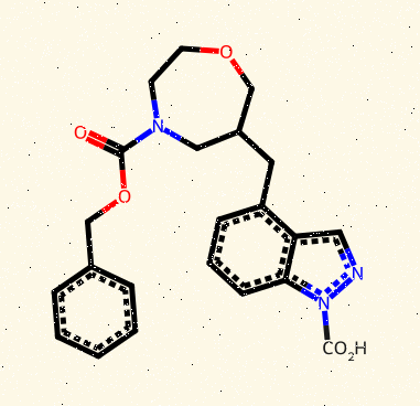 O=C(OCc1ccccc1)N1CCOCC(Cc2cccc3c2cnn3C(=O)O)C1